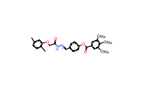 COc1cc(C(=O)Oc2ccc(/C=N/NC(=O)COc3cc(C)ccc3C)cc2)cc(OC)c1OC